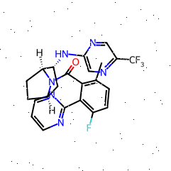 Cc1ccc(F)c(-c2ncccn2)c1C(=O)N1[C@@H]2CC[C@H]1[C@H](Nc1cnc(C(F)(F)F)cn1)C2